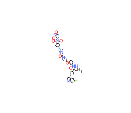 CC(C(=O)Nc1cccc(OC2CCN(C(=O)CN3CCN(c4ccc5c(c4)C(=O)N(C4CCC(=O)NC4=O)C5=O)CC3)CC2)c1)C1CCC(c2ccnc3ccc(F)cc23)CC1